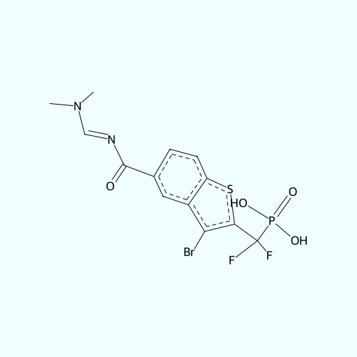 CN(C)/C=N/C(=O)c1ccc2sc(C(F)(F)P(=O)(O)O)c(Br)c2c1